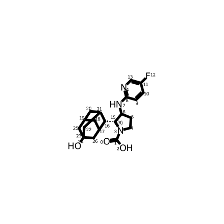 O=C(O)N1CCC(Nc2ccc(F)cn2)[C@H]1C1C2CC3CC1CC(O)(C3)C2